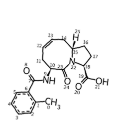 Cc1ccccc1C(=O)N[C@H]1CC=CC[C@@H]2CC[C@@H](C(=O)O)N2C1=O